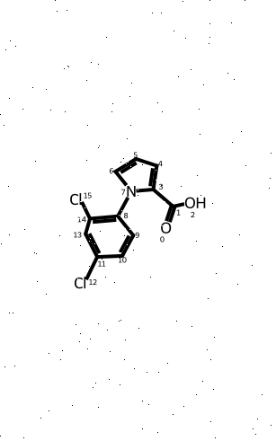 O=C(O)c1cccn1-c1ccc(Cl)cc1Cl